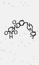 Cc1ccc(N2CCN(Cc3ccc4c(c3)CN(N3CCC(=O)NC3=O)C4=O)CC2)s1